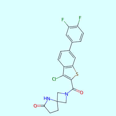 O=C1CCC2(CN(C(=O)c3sc4cc(-c5ccc(F)c(F)c5)ccc4c3Cl)C2)N1